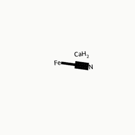 N#[C][Fe].[CaH2]